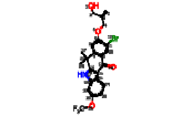 C=C(CO)COc1cc2c(cc1Br)C(=O)c1c([nH]c3cc(OC(F)(F)F)ccc13)C2(C)C